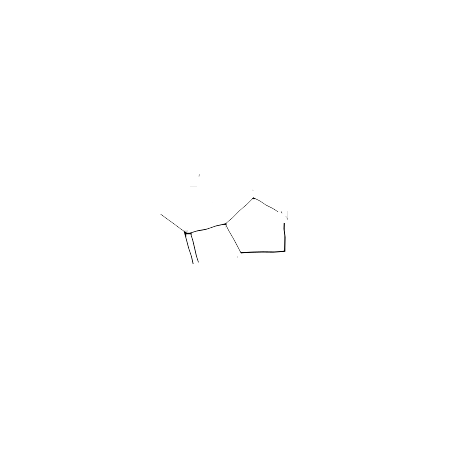 CC(=O)[C@]1(O)CCNC1